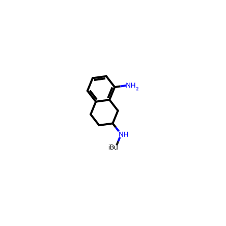 CCC(C)NC1CCc2cccc(N)c2C1